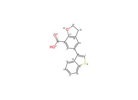 O=C(O)c1cc(-c2csc3ccccc23)cc2c1OCC2